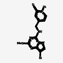 CCc1cnn2c(NCc3ccn(CC)c(=O)c3)nc(SC)nc12